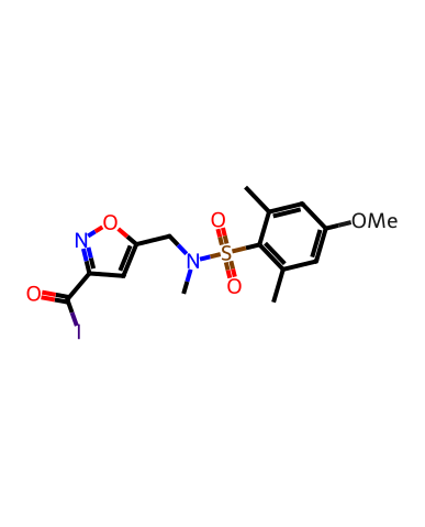 COc1cc(C)c(S(=O)(=O)N(C)Cc2cc(C(=O)I)no2)c(C)c1